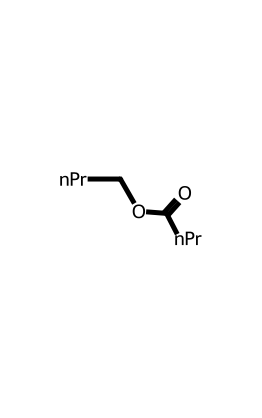 C[CH]CC(=O)OCCCC